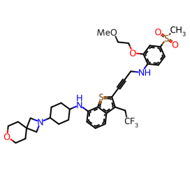 COCCOc1cc(S(C)(=O)=O)ccc1NCC#Cc1sc2c(NC3CCC(N4CC5(CCOCC5)C4)CC3)cccc2c1CC(F)(F)F